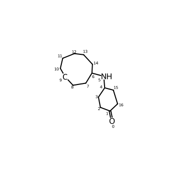 O=C1CCC(NC2CCCCCCCC2)CC1